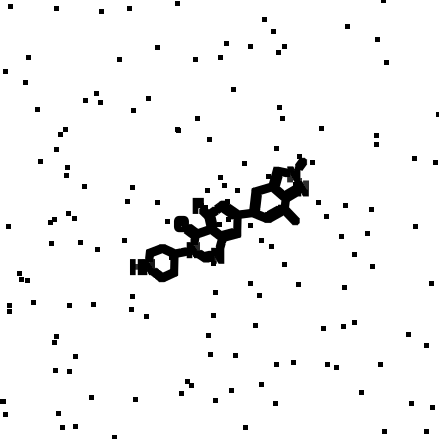 Cc1cc(-c2cc(F)c3c(=O)n(C4CCNCC4)cnc3c2)cc2cn(C)nc12